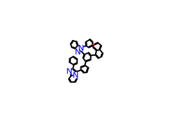 c1ccc(-c2nc3ccccn3c2-c2cccc(-c3cc(-c4cccc5ccccc45)cc(-c4nc5ccccc5n4-c4ccccc4)c3)c2)cc1